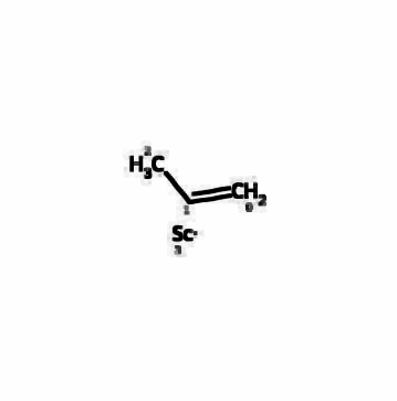 C=CC.[Sc]